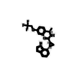 C[C@@H](NC(=O)[C@H]1C[C@@H]1c1cccc2cc[nH]c12)c1ccc(OCC(F)(F)F)cn1